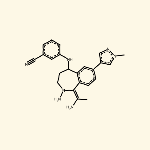 C/C(N)=C1\c2ccc(-c3cnn(C)c3)cc2C(Nc2cccc(C#N)c2)CCN1N